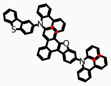 c1ccc(-c2ccccc2N(c2ccccc2)c2ccc3c(c2)oc2c4ccc(N(c5ccc6sc7ccccc7c6c5)c5ccccc5-c5ccccc5)cc4c4ccccc4c32)cc1